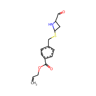 C=CCOC(=O)c1ccc(CSC2CC(C=O)N2)cc1